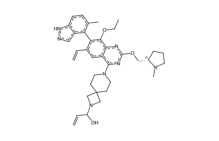 C=Cc1cc2c(N3CCC4(CC3)CN(C(O)C=C)C4)nc(OC[C@@H]3CCCN3C)nc2c(OCC)c1-c1c(C)ccc2[nH]ncc12